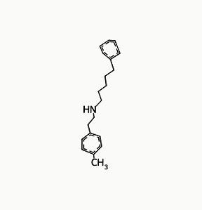 Cc1ccc(CCNCCCCCc2ccccc2)cc1